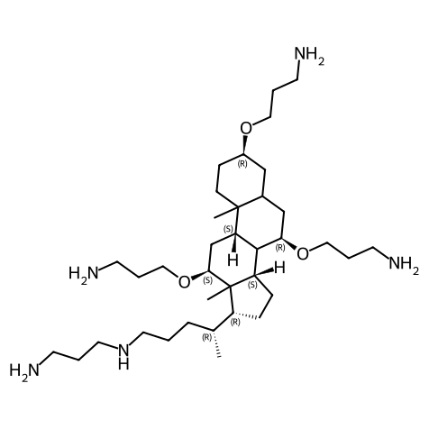 C[C@H](CCCNCCCN)[C@H]1CC[C@H]2C3[C@H](OCCCN)CC4C[C@H](OCCCN)CCC4(C)[C@H]3C[C@H](OCCCN)C12C